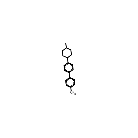 CC1CCC(c2ccc(-c3ccc(C(F)(F)F)cc3)cc2)CC1